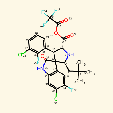 CC(C)(C)C[C@@H]1N[C@@H](C(=O)OC(=O)C(F)(F)F)[C@H](c2cccc(Cl)c2F)C12C(=O)Nc1cc(Cl)c(F)cc12